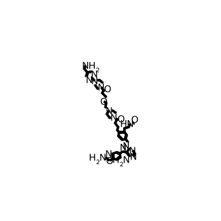 NCc1cnc(N2CCN(C(=O)CCOCCN3CCN(C(=O)CCCc4ccc(Cn5nc(-c6ccc7oc(N)nc7c6)c6c(N)ncnc65)cc4CCNC=O)CC3)CC2)nc1